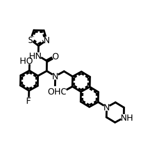 CN(Cc1ccc2cc(N3CCNCC3)ccc2c1C=O)C(C(=O)Nc1nccs1)c1cc(F)ccc1O